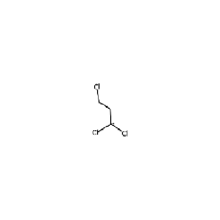 ClCC[C](Cl)Cl